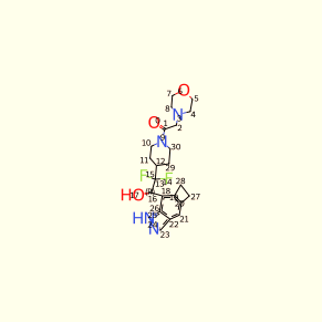 O=C(CN1CCOCC1)N1CCC(C(F)(F)[C@H](O)c2c3c(cc4cn[nH]c24)CC3)CC1